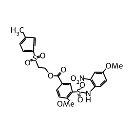 COc1ccc(NS(=O)(=O)c2cc(C(=O)OCCS(=O)(=O)c3ccc(C)cc3)ccc2OC)c([N+](=O)[O-])c1